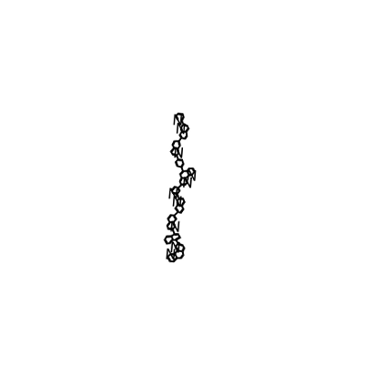 c1ccc(-c2ccc3ccc(-c4ccc5ccc(-c6ccc(-c7cc8cc(-c9ccnc(-c%10ccc%11ccc(-c%12ccc%13ccc(-c%14ccc(-c%15ccc%16ccc%17cccnc%17c%16n%15)c%15ccccc%14%15)nc%13c%12)cc%11n%10)c9)cnc8c8ncccc78)cc6)nc5c4)cc3n2)nc1